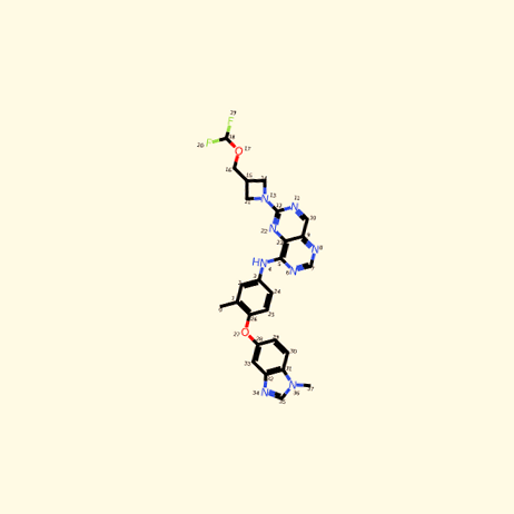 Cc1cc(Nc2ncnc3cnc(N4CC(COC(F)F)C4)nc23)ccc1Oc1ccc2c(c1)ncn2C